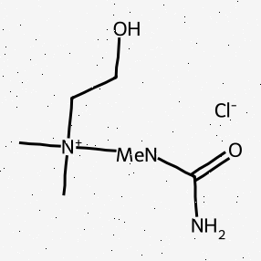 CNC(N)=O.C[N+](C)(C)CCO.[Cl-]